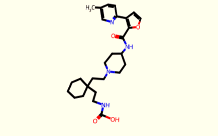 Cc1ccc(-c2ccoc2C(=O)NC2CCN(CCC3(CCNC(=O)O)CCCCC3)CC2)nc1